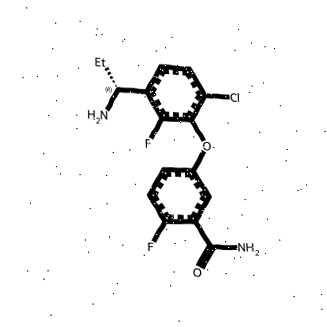 CC[C@@H](N)c1ccc(Cl)c(Oc2ccc(F)c(C(N)=O)c2)c1F